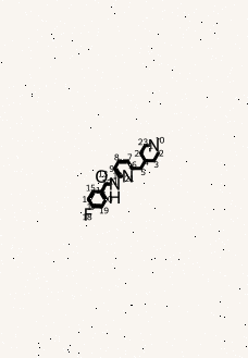 CN1CCC(Cc2cccc(NC(=O)c3ccc(F)cc3)n2)CC1